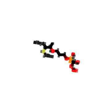 CCCCCCCCCCSC(CCCCCCC)C(C)OCCCO[PH](=O)C(=O)OO